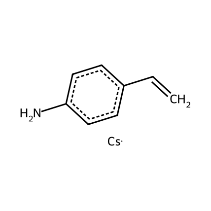 C=Cc1ccc(N)cc1.[Cs]